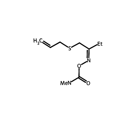 C=CCSCC(CC)=NOC(=O)NC